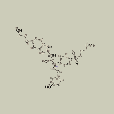 COCCCS(=O)(=O)c1ccc(/C(=N\O[C@@H]2CC[C@@H](O)C2)C(=O)Nc2nc3ccc(OCCO)nc3s2)cc1